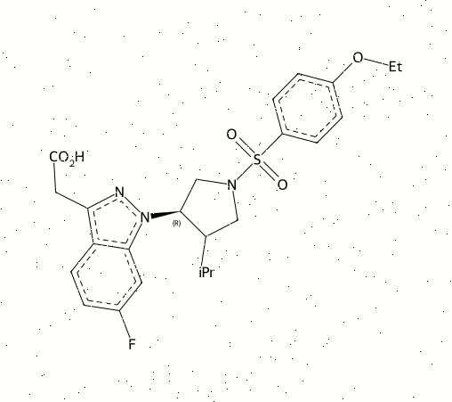 CCOc1ccc(S(=O)(=O)N2CC(C(C)C)[C@@H](n3nc(CC(=O)O)c4ccc(F)cc43)C2)cc1